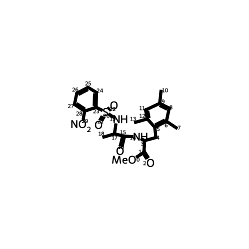 COC(=O)C(Cc1c(C)cc(C)cc1C)NC(=O)C(C)NS(=O)(=O)c1ccccc1[N+](=O)[O-]